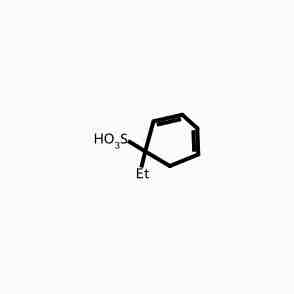 CCC1(S(=O)(=O)O)C=CC=CC1